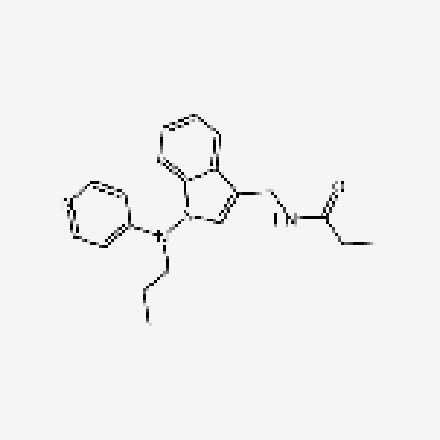 CCCN(c1ccncc1)n1cc(CNC(=O)CC)c2ccccc21